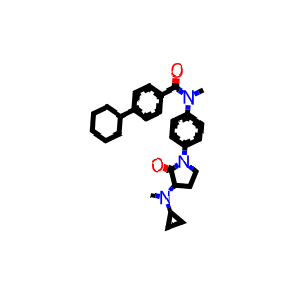 CN(C(=O)c1ccc(C2CCCCC2)cc1)c1ccc(N2CCC(N(C)C3CC3)C2=O)cc1